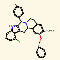 COc1cc2c(cc1OCc1ccccc1)C1Cc3c([nH]c4cccc(F)c34)C(c3ccc(F)cc3)N1CC2